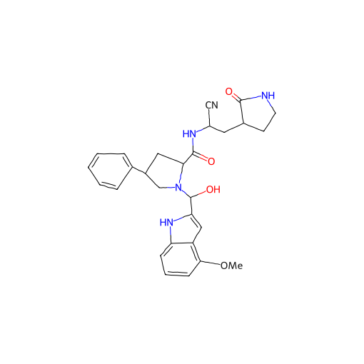 COc1cccc2[nH]c(C(O)N3CC(c4ccccc4)CC3C(=O)NC(C#N)CC3CCNC3=O)cc12